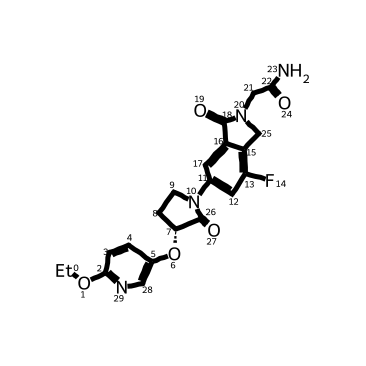 CCOc1ccc(O[C@@H]2CCN(c3cc(F)c4c(c3)C(=O)N(CC(N)=O)C4)C2=O)cn1